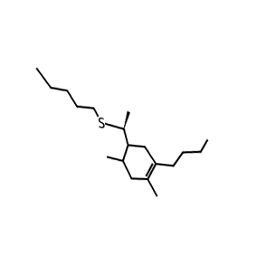 CCCCCS[C@@H](C)C1CC(CCCC)=C(C)CC1C